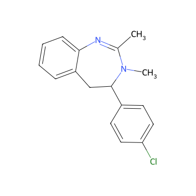 CC1=Nc2ccccc2CC(c2ccc(Cl)cc2)N1C